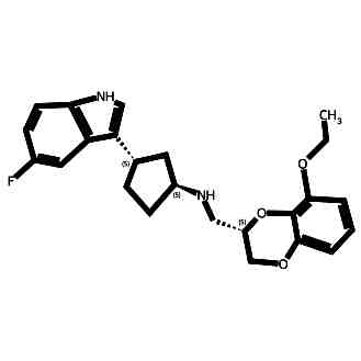 CCOc1cccc2c1O[C@@H](CN[C@H]1CC[C@H](c3c[nH]c4ccc(F)cc34)C1)CO2